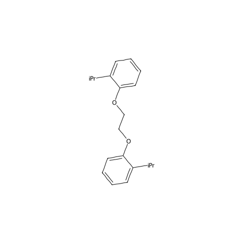 CC(C)c1ccccc1OCCOc1ccccc1C(C)C